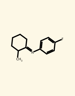 CC1CCCCC1=Nc1ccc(F)cc1